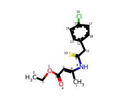 CCOC(=O)C=C(C)NC(=S)Cc1ccc(Cl)cc1